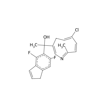 CC1=N\C=C(\C(C)(O)c2c(F)cc3c(c2F)C=CC3)C/C=C(Cl)/C=C\1